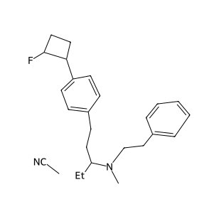 CC#N.CCC(CCc1ccc(C2CCC2F)cc1)N(C)CCc1ccccc1